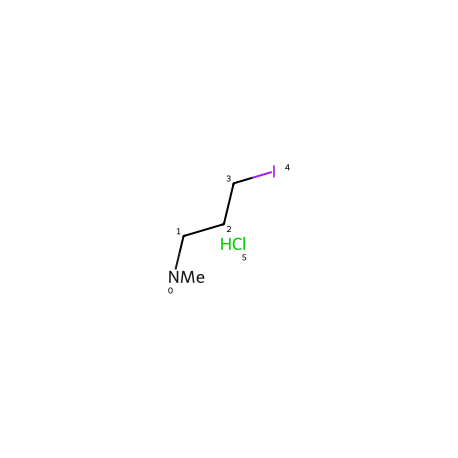 CNCCCI.Cl